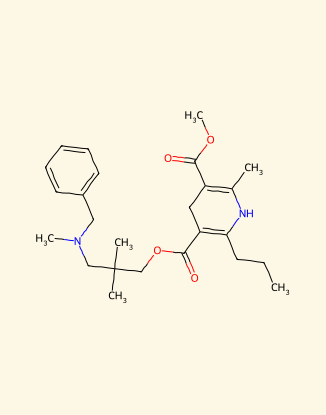 CCCC1=C(C(=O)OCC(C)(C)CN(C)Cc2ccccc2)CC(C(=O)OC)=C(C)N1